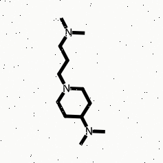 CN(C)CCCN1CCC(N(C)C)CC1